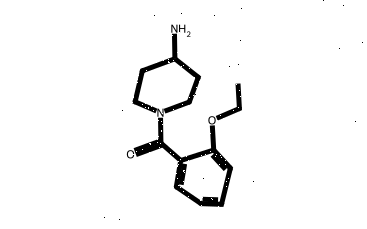 CCOc1ccccc1C(=O)N1CCC(N)CC1